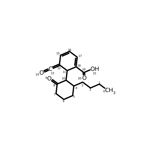 CCCCC1CCCC(=O)C1C1C(=C=O)C=CC=C1C(=O)O